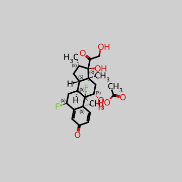 CC(=O)O.C[C@H]1C[C@H]2[C@@H]3C[C@H](F)C4=CC(=O)C=C[C@]4(C)[C@@]3(F)[C@@H](O)C[C@]2(C)[C@@]1(O)C(=O)CO